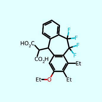 CCOc1cc2c(c(CC)c1CC)C(F)(F)C(F)(F)c1ccccc1C2C(C(=O)O)C(=O)O